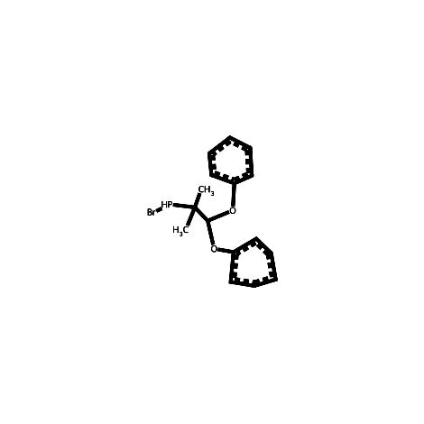 CC(C)(PBr)C(Oc1ccccc1)Oc1ccccc1